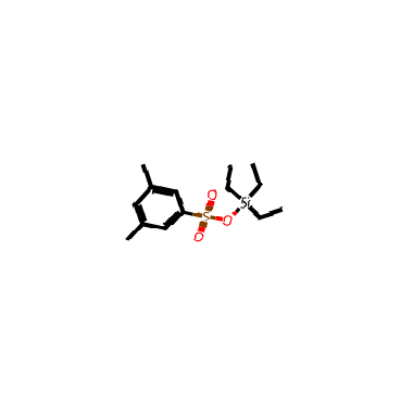 CC[Si](CC)(CC)OS(=O)(=O)c1cc(C)cc(C)c1